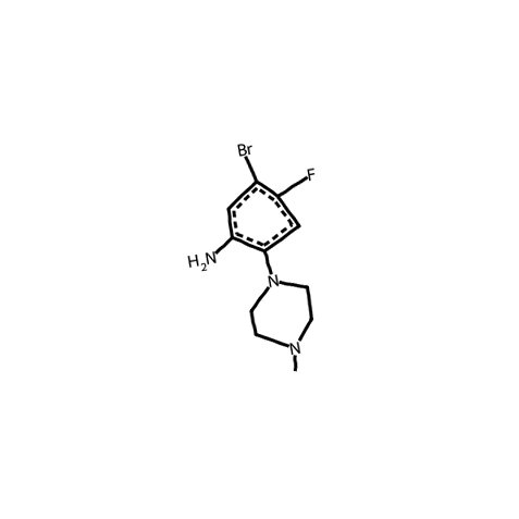 CN1CCN(c2cc(F)c(Br)cc2N)CC1